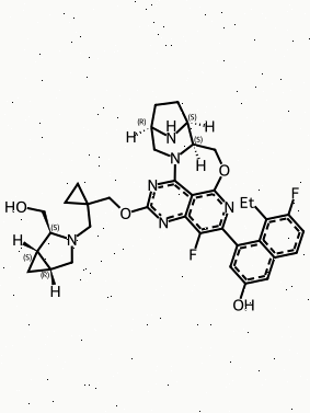 CCc1c(F)ccc2cc(O)cc(-c3nc4c5c(nc(OCC6(CN7C[C@@H]8C[C@@H]8[C@H]7CO)CC6)nc5c3F)N3C[C@H]5CC[C@H](N5)[C@H]3CO4)c12